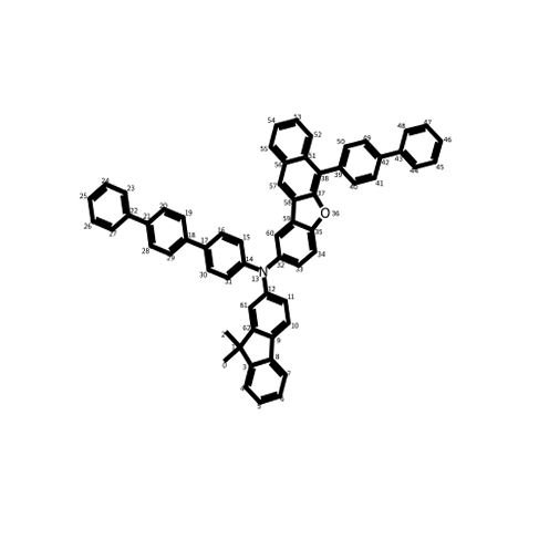 CC1(C)c2ccccc2-c2ccc(N(c3ccc(-c4ccc(-c5ccccc5)cc4)cc3)c3ccc4oc5c(-c6ccc(-c7ccccc7)cc6)c6ccccc6cc5c4c3)cc21